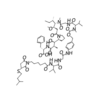 CC[C@H](C)[C@@H]([C@@H](CC(=O)N1CCC[C@H]1[C@H](OC)[C@@H](C)C(=O)N[C@@H](Cc1ccccc1)C(=O)O)OC)N(C)C(=O)CNC(=O)C(C(C)C)N(C)C(=O)OCc1ccc(NC(=O)CNC(=O)C(NC(=O)CCCCCN2C(=O)CC(SCCC(C)C)C2=O)C(C)C)cc1